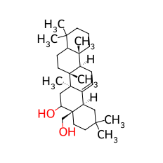 CC1(C)CC[C@]2(CO)C(O)C[C@]3(C)C(=CC[C@@H]4[C@@]5(C)CCCC(C)(C)C5CC[C@]43C)[C@H]2C1